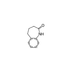 O=C1CCCc2cc[c]cc2N1